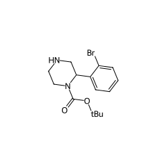 CC(C)(C)OC(=O)N1CCNCC1c1ccccc1Br